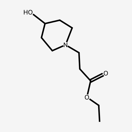 CCOC(=O)CCN1CCC(O)CC1